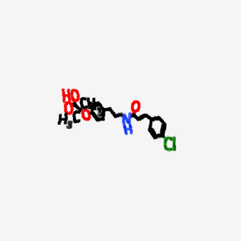 CC(C)(Oc1ccc(CCCNC(=O)C=Cc2ccc(Cl)cc2)cc1)C(=O)O